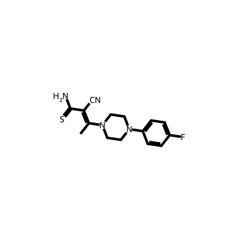 C/C(=C(/C#N)C(N)=S)N1CCN(c2ccc(F)cc2)CC1